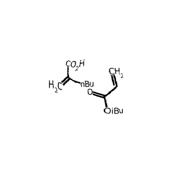 C=C(CCCC)C(=O)O.C=CC(=O)OCC(C)C